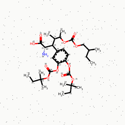 CCC(C)COC(=O)OC(C)C(C)C(c1ccc(OC(=O)OC(C)(C)CC)c(OC(=O)OC(C)(C)CC)c1)[C@H](N)C(=O)O